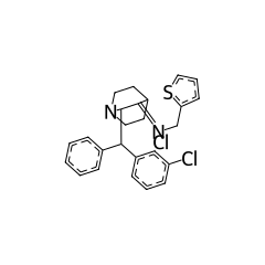 Clc1cccc(C(c2ccccc2)C2C(=NCc3cccs3)C3CCN2CC3)c1Cl